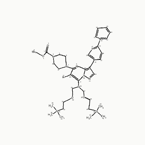 CC(C)(C)OC(=O)N1CCN(c2nc3c(-c4ccc(-c5ccccc5)nc4)cnn3c(N(COCC[Si](C)(C)C)COCC[Si](C)(C)C)c2Br)CC1